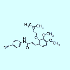 COc1ccc(/C=C/C(=O)Nc2ccc(C#N)cc2)c(OCCN(C)C)c1OC